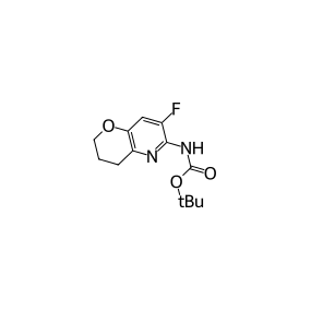 CC(C)(C)OC(=O)Nc1nc2c(cc1F)OCCC2